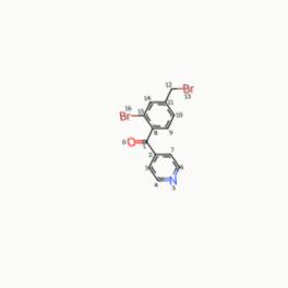 O=C(c1ccncc1)c1ccc(CBr)cc1Br